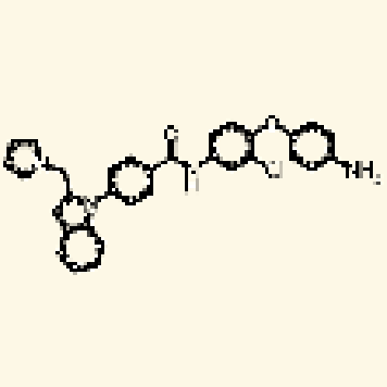 Nc1ccc(Oc2ccc(NC(=O)c3ccc(-n4c(Cn5cccc5)cc5ccccc54)cc3)cc2Cl)cc1